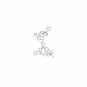 CC1(C)c2ccccc2-c2ccc(N(c3ccc(-c4ccccc4)cc3)c3ccc(-c4cc5c(c6ccccc46)C(C)(C)c4cc(-c6ccccc6)ccc4-5)cc3)cc21